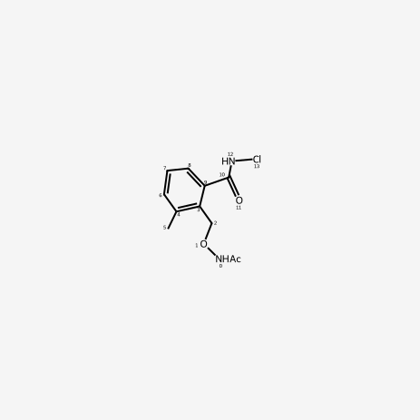 CC(=O)NOCc1c(C)cccc1C(=O)NCl